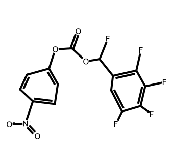 O=C(Oc1ccc([N+](=O)[O-])cc1)OC(F)c1cc(F)c(F)c(F)c1F